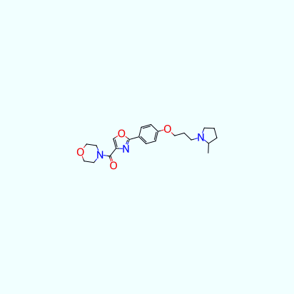 CC1CCCN1CCCOc1ccc(-c2nc(C(=O)N3CCOCC3)co2)cc1